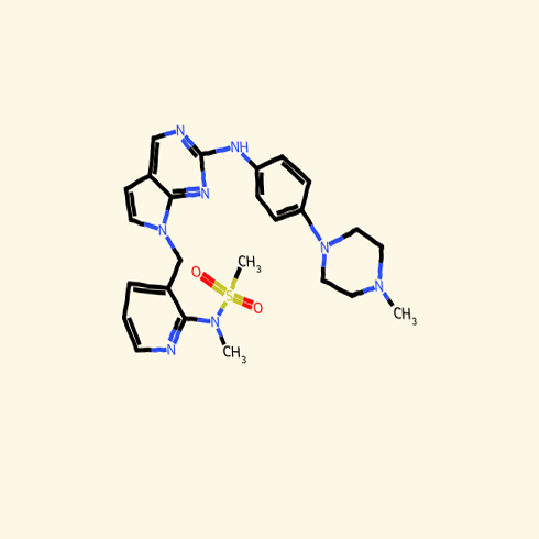 CN1CCN(c2ccc(Nc3ncc4ccn(Cc5cccnc5N(C)S(C)(=O)=O)c4n3)cc2)CC1